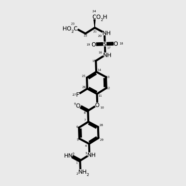 N=C(N)Nc1ccc(C(=O)Oc2ccc(CNS(=O)(=O)N[C@@H](CC(=O)O)C(=O)O)cc2F)cc1